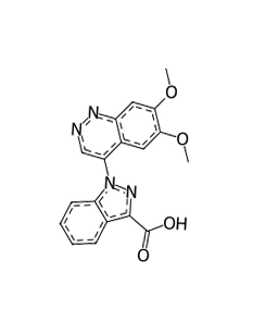 COc1cc2nncc(-n3nc(C(=O)O)c4ccccc43)c2cc1OC